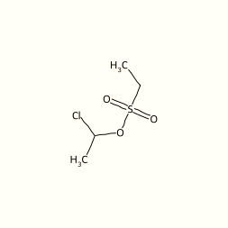 CCS(=O)(=O)OC(C)Cl